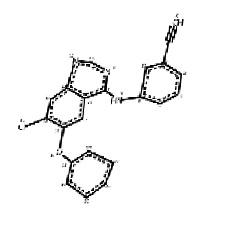 C#Cc1cccc(Nc2ncnc3cc(Cl)c(Oc4ccccc4)cc23)c1